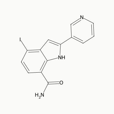 NC(=O)c1ccc(I)c2cc(-c3cccnc3)[nH]c12